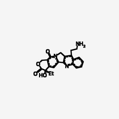 CC[C@@]1(O)C(=O)OCc2c1cc1n(c2=O)Cc2c-1nc1ccccc1c2CCN